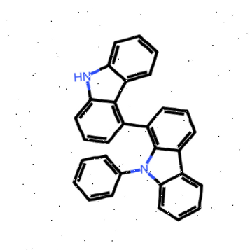 c1ccc(-n2c3ccccc3c3cccc(-c4cccc5[nH]c6ccccc6c45)c32)cc1